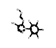 CCOC=Nc1c(C#N)cnn1-c1c(F)c(F)c(Br)c(F)c1F